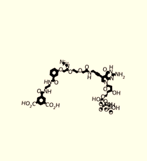 [N-]=[N+]=NC(COc1cccc(C(=O)NCCNC(=O)c2cc(C(=O)O)cc(C(=O)O)c2)c1)OCCOCC(=O)NCC#Cc1cn([C@H]2C[C@H](O)[C@@H](COP(=O)(O)OP(=O)(O)OP(=O)(O)O)O2)c2nc(N)[nH]c(=O)c12